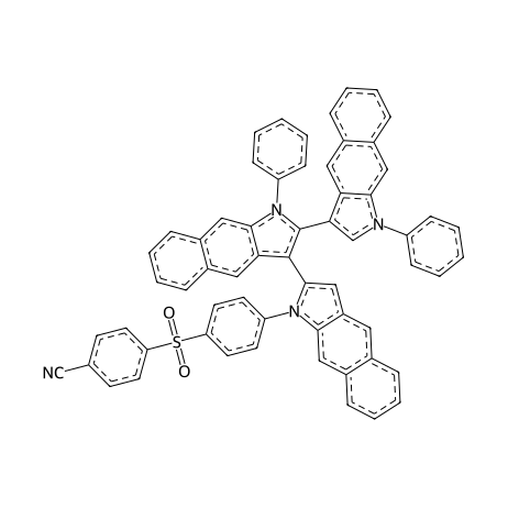 N#Cc1ccc(S(=O)(=O)c2ccc(-n3c(-c4c(-c5cn(-c6ccccc6)c6cc7ccccc7cc56)n(-c5ccccc5)c5cc6ccccc6cc45)cc4cc5ccccc5cc43)cc2)cc1